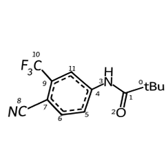 CC(C)(C)C(=O)Nc1ccc(C#N)c(C(F)(F)F)c1